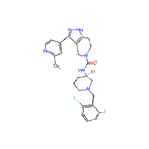 CCC1(NC(=O)N2CCc3[nH]nc(-c4ccnc(C)c4)c3C2)CCCN(Cc2c(F)cccc2F)C1